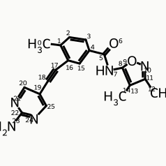 Cc1ccc(C(=O)Nc2onc(C)c2C)cc1C#Cc1cnc(N)nc1